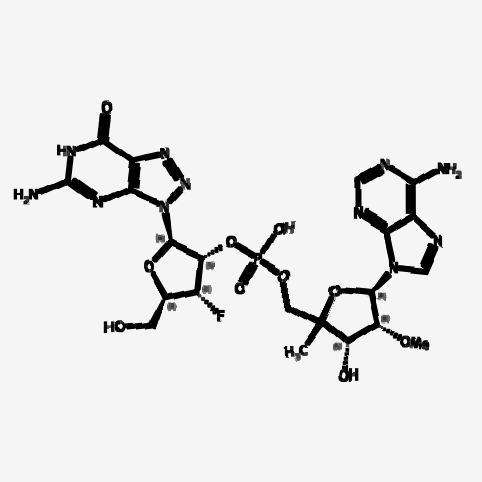 CO[C@H]1[C@H](n2cnc3c(N)ncnc32)OC(C)(COP(=O)(O)O[C@@H]2[C@H](F)[C@@H](CO)O[C@H]2n2nnc3c(=O)[nH]c(N)nc32)[C@H]1O